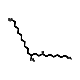 CCCCCCCCCCCC(C)CCPCCCCCCC